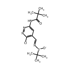 CC(C)(C)C(=O)Nc1cc(/C=N/[S+]([O-])C(C)(C)C)c(Cl)nn1